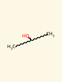 CCCCCCCCCCC(=CCO)CCCCCCCCCC